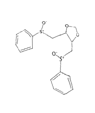 [O-][S+](CC1OCOC1C[S+]([O-])c1ccccc1)c1ccccc1